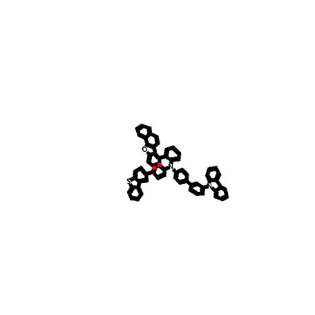 c1cc(-c2ccc(N(c3ccc(-c4ccc5sc6ccccc6c5c4)cc3)c3ccccc3-c3cccc4oc5c6ccccc6ccc5c34)cc2)cc(-n2c3ccccc3c3ccccc32)c1